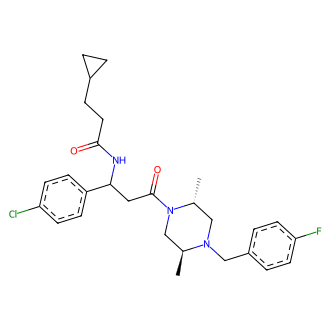 C[C@@H]1CN(Cc2ccc(F)cc2)[C@@H](C)CN1C(=O)CC(NC(=O)CCC1CC1)c1ccc(Cl)cc1